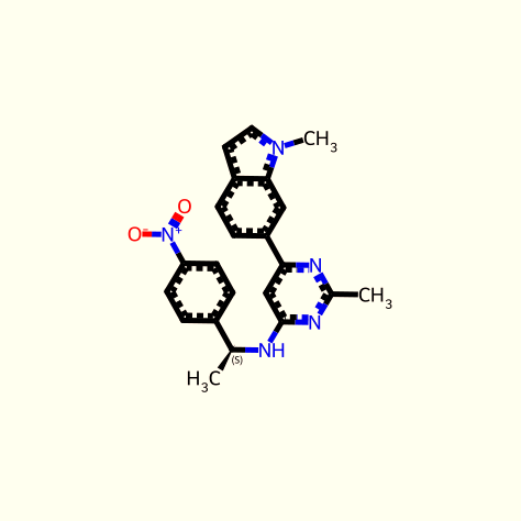 Cc1nc(N[C@@H](C)c2ccc([N+](=O)[O-])cc2)cc(-c2ccc3ccn(C)c3c2)n1